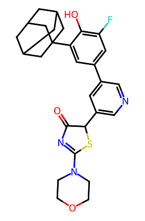 O=C1N=C(N2CCOCC2)SC1c1cncc(-c2cc(F)c(O)c(C34CC5CC(CC(C5)C3)C4)c2)c1